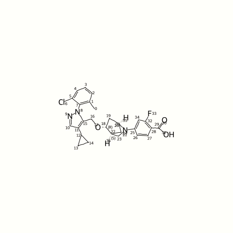 Cc1cccc(Cl)c1-n1ncc(C2CC2)c1CO[C@@H]1C[C@@H]2C[C@H]1CN2c1ccc(C(=O)O)c(F)c1